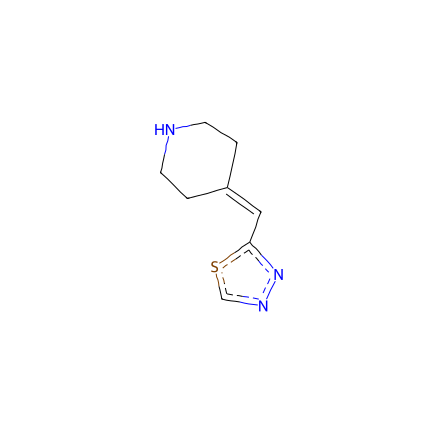 C(=C1CCNCC1)c1nncs1